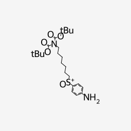 CC(C)(C)OC(=O)N(CCCCCCC[S+]([O-])c1ccc(N)cc1)C(=O)OC(C)(C)C